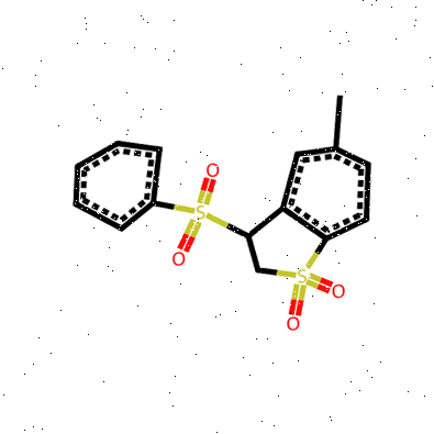 Cc1ccc2c(c1)C(S(=O)(=O)c1ccccc1)CS2(=O)=O